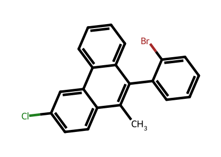 Cc1c(-c2ccccc2Br)c2ccccc2c2cc(Cl)ccc12